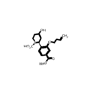 C=CCCOc1cc(C(=O)OC)ccc1[C@@H]1CC(O)CCN1C(=O)O